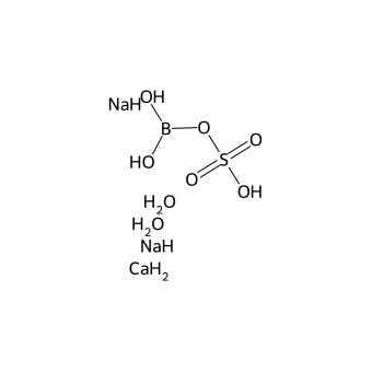 O.O.O=S(=O)(O)OB(O)O.[CaH2].[NaH].[NaH]